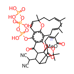 COC(=O)/C(C)=C\CC12OC(C)(C)C3CC(C1=O)C(C(C#N)C#N)C1C(=O)c4c(OP(=O)(O)OP(=O)(O)OP(=O)(O)O)c5c(c(CC=C(C)C)c4OC132)OC(C)(CCC=C(C)C)C=C5